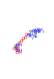 Nc1ncccc1-c1nc2ccc(-c3cccc(CCNC(=O)CCOCCOCCOCCOCCNc4cccc5c4C(=O)N(C4CCC(O)NC4=O)C5=O)c3)nc2n1-c1ccc(C2(N)CCC2)cc1